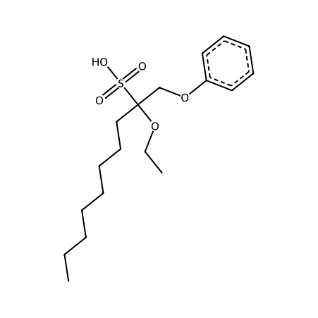 CCCCCCCCC(COc1ccccc1)(OCC)S(=O)(=O)O